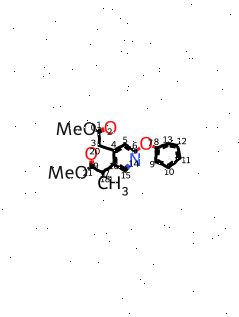 COC(=O)Cc1cc(Oc2ccccc2)ncc1C(C)C(=O)OC